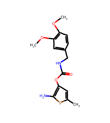 COc1ccc(CNC(=O)Oc2cc(C)sc2N)cc1OC